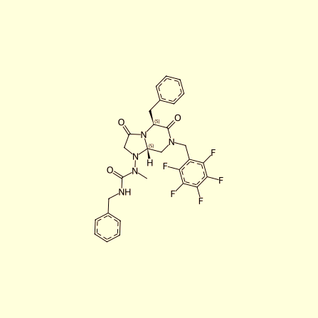 CN(C(=O)NCc1ccccc1)N1CC(=O)N2[C@@H](Cc3ccccc3)C(=O)N(Cc3c(F)c(F)c(F)c(F)c3F)C[C@@H]21